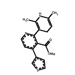 COC(=O)c1c(-c2ccsc2)ccnc1C1=C(C)NC(C)=CC1